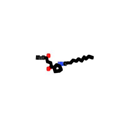 C=CCCCCCCCCCNc1cccc(C(=O)CCC(=O)OC)c1